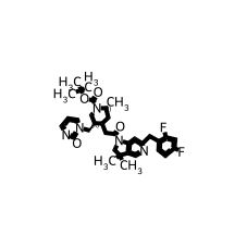 C[C@@H]1CC(CC(=O)N2CC(C)(C)c3cnc(Cc4ccc(F)cc4F)cc32)[C@@H](Cn2cccnc2=O)CN1C(=O)OC(C)(C)C